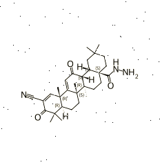 CC1(C)CC[C@]2(C(=O)NN)CC[C@]3(C)[C@H](C(=O)C=C4[C@@]5(C)C=C(C#N)C(=O)C(C)(C)[C@@H]5CC[C@]43C)[C@@H]2C1